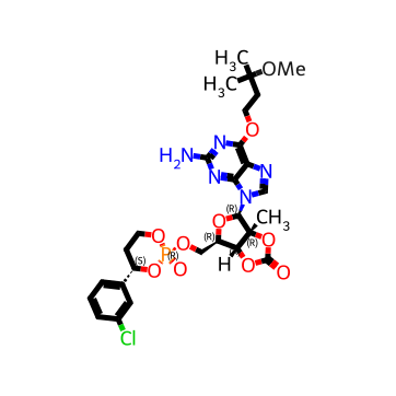 COC(C)(C)CCOc1nc(N)nc2c1ncn2[C@@H]1O[C@H](CO[P@@]2(=O)OCC[C@@H](c3cccc(Cl)c3)O2)[C@H]2OC(=O)O[C@]21C